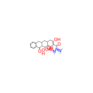 CN(C)N(C(=O)C1=C(O)CC2CC3Cc4ccccc4C(=O)C3C(O)(O)C2(O)C1=O)N(C)C